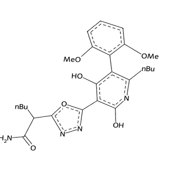 CCCCc1nc(O)c(-c2nnc(C(CCCC)C(N)=O)o2)c(O)c1-c1c(OC)cccc1OC